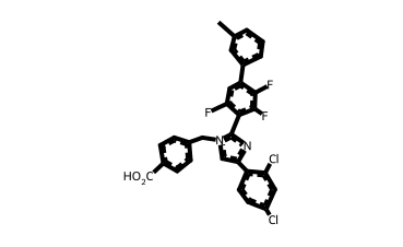 Cc1cccc(-c2cc(F)c(-c3nc(-c4ccc(Cl)cc4Cl)cn3Cc3ccc(C(=O)O)cc3)c(F)c2F)c1